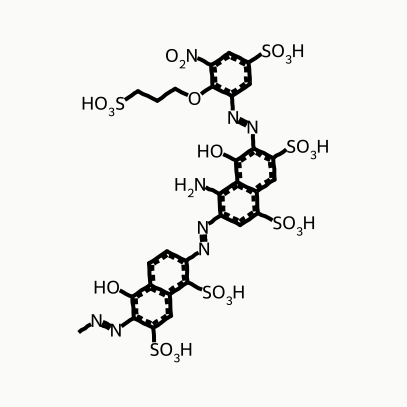 CN=Nc1c(S(=O)(=O)O)cc2c(S(=O)(=O)O)c(N=Nc3cc(S(=O)(=O)O)c4cc(S(=O)(=O)O)c(N=Nc5cc(S(=O)(=O)O)cc([N+](=O)[O-])c5OCCCS(=O)(=O)O)c(O)c4c3N)ccc2c1O